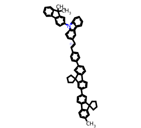 Cc1ccc2c(c1)C1(CCCC1)c1cc(-c3ccc4c(c3)C3(CCCC3)c3cc(-c5ccc(/C=C/c6ccc7c(c6)c6ccccc6n7-c6ccc7c(c6)C(C)(C)c6ccccc6-7)cc5)ccc3-4)ccc1-2